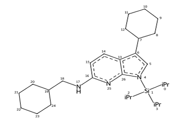 CC(C)[Si](C(C)C)(C(C)C)n1cc(C2CCCCC2)c2ccc(NCC3CCCCC3)nc21